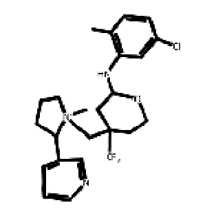 Cc1ccc(Cl)cc1NC1CC(C[N+]2(C)CCCC2c2cccnc2)(C(F)(F)F)CCO1